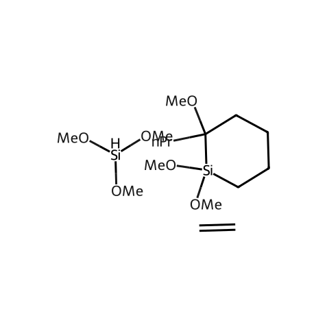 C=C.CCCC1(OC)CCCC[Si]1(OC)OC.CO[SiH](OC)OC